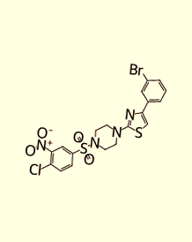 O=[N+]([O-])c1cc(S(=O)(=O)N2CCN(c3nc(-c4cccc(Br)c4)cs3)CC2)ccc1Cl